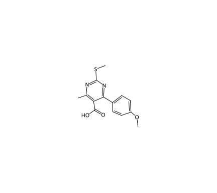 COc1ccc(-c2nc(SC)nc(C)c2C(=O)O)cc1